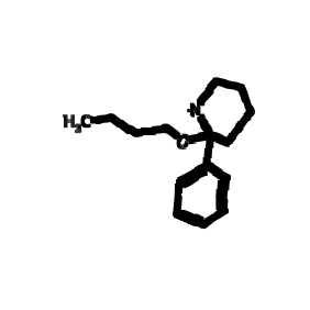 CCCCOC1(c2ccccc2)CCCC[N]1